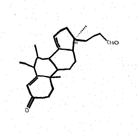 CC1C2=CC(=O)CCC2(C)C2CCC3C(=CC[C@@]3(C)CCC=O)C2C1C